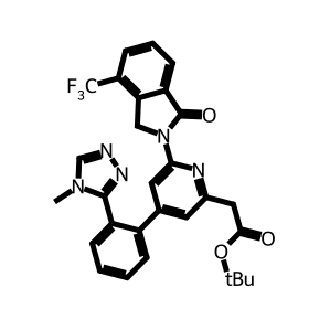 Cn1cnnc1-c1ccccc1-c1cc(CC(=O)OC(C)(C)C)nc(N2Cc3c(cccc3C(F)(F)F)C2=O)c1